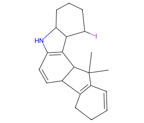 CC1(C)C2=C(CCC=C2)C2C=CC3=C(C4C(I)CCCC4N3)C21